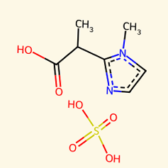 CC(C(=O)O)c1nccn1C.O=S(=O)(O)O